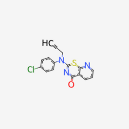 C#CCN(c1ccc(Cl)cc1)c1nc(=O)c2cccnc2s1